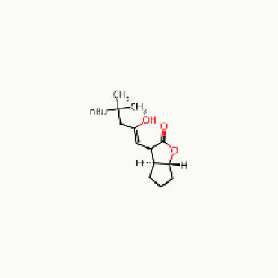 CCCCC(C)(C)CC(O)=CC1C(=O)O[C@@H]2CCC[C@@H]12